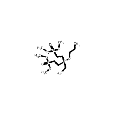 CCCO[N+](CC)(CCP(=O)(OC)OC)CCP(=O)(OC)OC